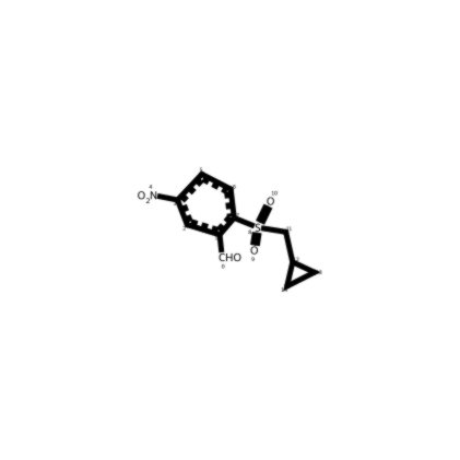 O=Cc1cc([N+](=O)[O-])ccc1S(=O)(=O)CC1CC1